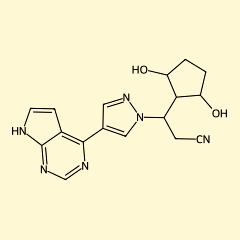 N#CCC(C1C(O)CCC1O)n1cc(-c2ncnc3[nH]ccc23)cn1